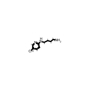 NCCCCNc1ccc(Cl)cn1